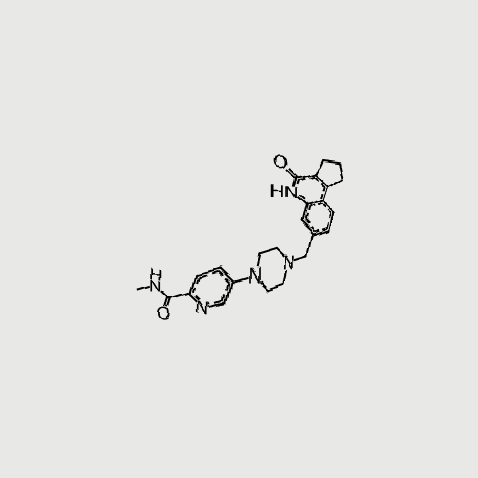 CNC(=O)c1ccc(N2CCN(Cc3ccc4c5c(c(=O)[nH]c4c3)CCC5)CC2)cn1